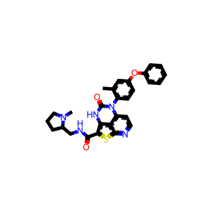 Cc1cc(Oc2ccccc2)ccc1N1C(=O)Nc2c(C(=O)NCC3CCCN3C)sc3nccc1c23